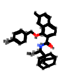 Cc1ccc2ccc(C(=O)NC(C(=O)O)C34CC5CC(CC(C5)C3)C4)c(OCc3ccc(C(F)(F)F)cc3)c2c1